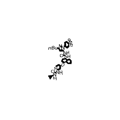 CCCCc1cc(NC(=O)Nc2ccc(Oc3ccnc(NC(=O)NC4CC4)c3)c3ccccc23)n(-c2ccc(S(C)(=O)=O)cc2)n1